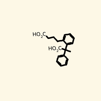 CC(C(=O)O)(c1ccccc1)c1ccccc1CCCC(=O)O